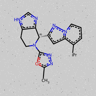 Cc1nnc(N2CCc3[nH]cnc3[C@@H]2c2cc3c(C(C)C)cccn3n2)o1